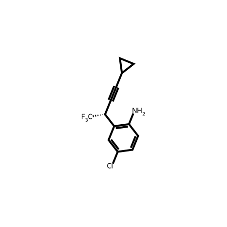 Nc1ccc(Cl)cc1[C@@H](C#CC1CC1)C(F)(F)F